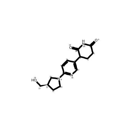 O=C1CCC(c2ccc(N3CC[C@@H](CO)C3)nc2)C(=O)N1